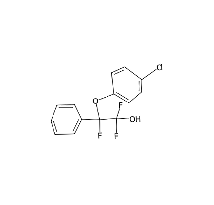 OC(F)(F)C(F)(Oc1ccc(Cl)cc1)c1ccccc1